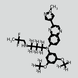 [2H]C([2H])([2H])Oc1cc(OC([2H])([2H])[2H])cc(N(c2ccc3ncc(-c4cnn(C)c4)nc3c2)C([2H])([2H])C([2H])([2H])C([2H])([2H])NCC(C)(F)F)c1